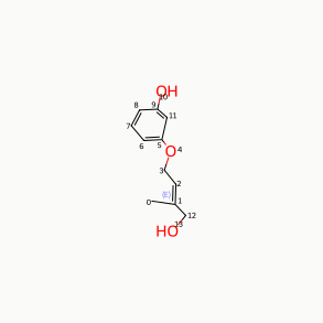 C/C(=C\COc1cccc(O)c1)CO